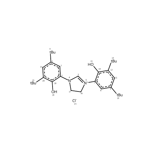 CC(C)(C)c1cc(N2C=[N+](c3cc(C(C)(C)C)cc(C(C)(C)C)c3O)CC2)c(O)c(C(C)(C)C)c1.[Cl-]